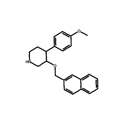 COc1ccc(C2CCNCC2OCc2ccc3ccccc3c2)cc1